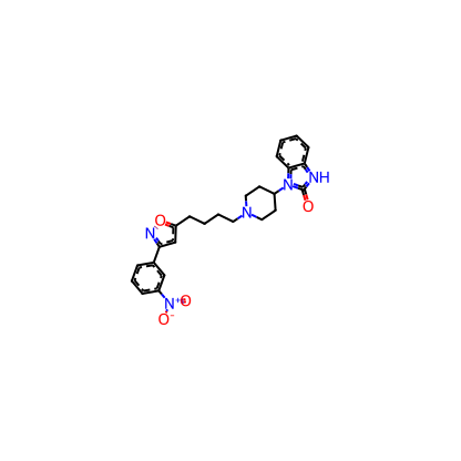 O=c1[nH]c2ccccc2n1C1CCN(CCCCc2cc(-c3cccc([N+](=O)[O-])c3)no2)CC1